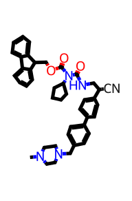 CN1CCN(Cc2ccc(-c3ccc(C(C#N)CNC(=O)N(C(=O)OCC4c5ccccc5-c5ccccc54)C4CCCC4)cc3)cc2)CC1